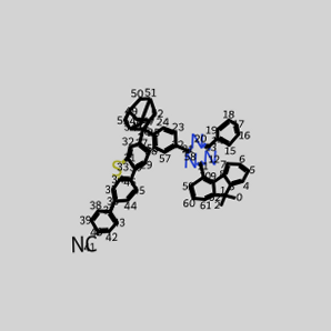 CC1(C)c2ccccc2-c2c(-c3nc(-c4ccccc4)nc(-c4ccc(C5(c6ccc7c(c6)sc6cc(-c8ccc(C#N)cc8)ccc67)C6CC7CC(C6)CC5C7)cc4)n3)cccc21